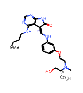 CNCCCNc1ncnc2c1/C(=C/Nc1cccc(OCCN(C)[C@@H](CO)C(=O)O)c1)C(=O)N2